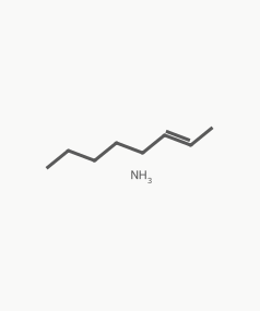 CC=CCCCCC.N